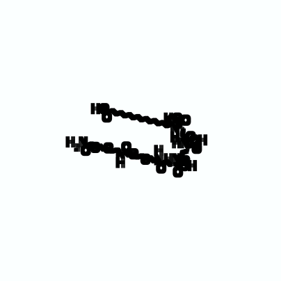 NC(=O)COCCOCCNC(=O)COCCOCCNC(=O)CC[C@H](NC(=O)CC[C@H](NC(=O)CC[C@H](NC(=O)CCCCCCCCCCCCCCC(=O)O)C(=O)O)C(=O)O)C(=O)O